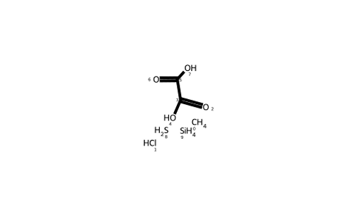 C.Cl.O=C(O)C(=O)O.S.[SiH4]